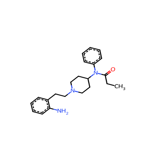 CCC(=O)N(c1ccccc1)C1CCN(CCc2ccccc2N)CC1